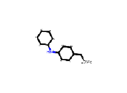 COCC1CCC(NC2CCCCC2)CC1